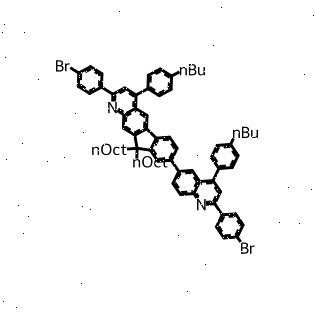 CCCCCCCCC1(CCCCCCCC)c2cc(-c3ccc4nc(-c5ccc(Br)cc5)cc(-c5ccc(CCCC)cc5)c4c3)ccc2-c2cc3c(-c4ccc(CCCC)cc4)cc(-c4ccc(Br)cc4)nc3cc21